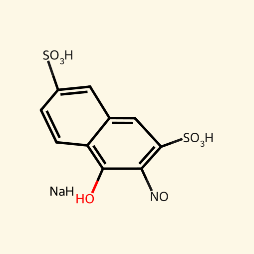 O=Nc1c(S(=O)(=O)O)cc2cc(S(=O)(=O)O)ccc2c1O.[NaH]